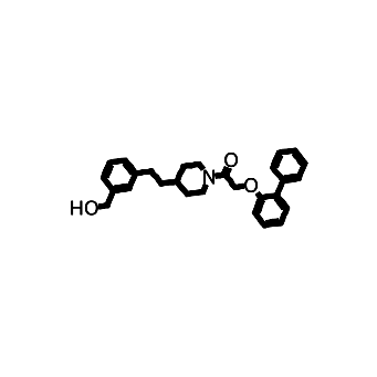 O=C(COc1ccccc1-c1ccccc1)N1CCC(CCc2cccc(CO)c2)CC1